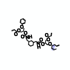 C=C/C=C(\C=C/C)OCC(COC(=O)C=C)OC(=O)NCC1CCCC(CNC(=O)OC(COC(=O)C=C)COc2ccccc2)C1